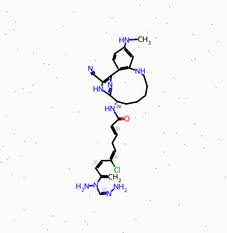 C=C(/C=C\C(Cl)=C/C/C=C/C(=O)N[C@H]1CCCCCNc2cc(NC)ccc2-c2nc1[nH]c2C#N)N(N)/C=N\N